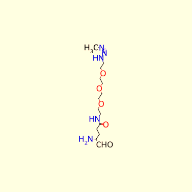 C/N=N\NCCOCCOCCOCCNC(=O)CCC(N)C=O